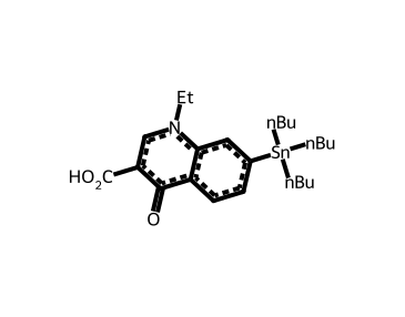 CCC[CH2][Sn]([CH2]CCC)([CH2]CCC)[c]1ccc2c(=O)c(C(=O)O)cn(CC)c2c1